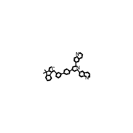 CC1(C)c2ccccc2-c2c(-c3cccc(-c4ccc(-c5cc(-c6ccc7ncccc7c6)nc(-c6ccc7ncccc7c6)c5)cc4)c3)cccc21